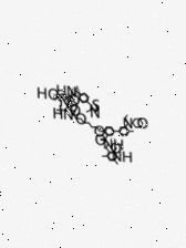 CCN(c1cc(-c2ccc(OCCCCOCC(=O)NC(C(=O)N3C[C@H](O)C[C@H]3C(=O)N[C@@H](C)c3ccc(-c4scnc4C)cc3)C(C)(C)C)c(C(=O)NCc3c(C)cc(C)[nH]c3=O)c2)ccc1C)C1CCOCC1